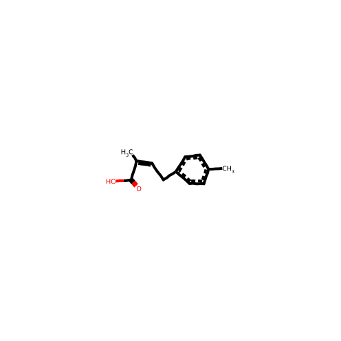 CC(=CCc1ccc(C)cc1)C(=O)O